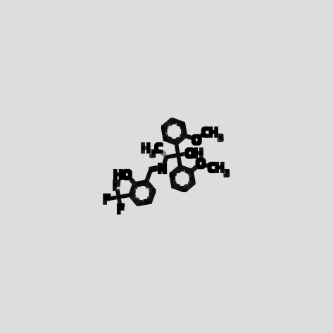 COc1ccccc1C(O)(c1ccccc1OC)[C@@H](C)N=Cc1cccc(C(F)(F)F)c1O